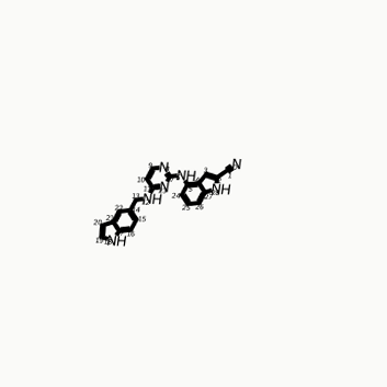 N#Cc1cc2c(Nc3nccc(NCc4ccc5[nH]ccc5c4)n3)cccc2[nH]1